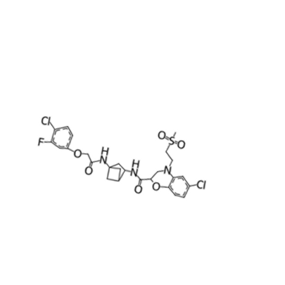 CS(=O)(=O)CCN1CC(C(=O)NC2CC3(NC(=O)COc4ccc(Cl)c(F)c4)CC2C3)Oc2ccc(Cl)cc21